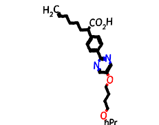 C=CCCCCC(C(=O)O)c1ccc(-c2ncc(OCCCCOCCC)cn2)cc1